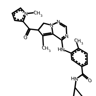 CC1=C2C(Nc3cc(C(=O)NC4CC4)ccc3C)=NC=NN2CC1C(=O)c1cccn1C